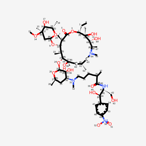 CC[C@H]1OC(=O)[C@H](C)[C@@H](O[C@H]2C[C@@](C)(OC)[C@@H](O)[C@H](C)O2)[C@H](C)[C@@H](O[C@@H]2O[C@H](C)C[C@H](N(C)CCCC(C)C(=O)N[C@H](CO)[C@H](O)c3ccc([N+](=O)[O-])cc3)[C@H]2O)[C@](C)(O)C[C@@H](C)CN(C)[C@H](C)[C@@H](O)[C@]1(C)O